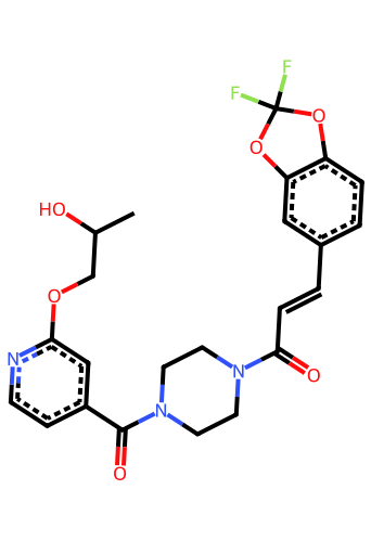 CC(O)COc1cc(C(=O)N2CCN(C(=O)C=Cc3ccc4c(c3)OC(F)(F)O4)CC2)ccn1